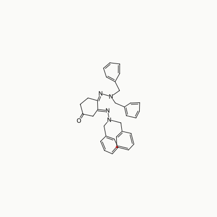 O=C1CCC(=NN(Cc2ccccc2)Cc2ccccc2)C(=NN(Cc2ccccc2)Cc2ccccc2)C1